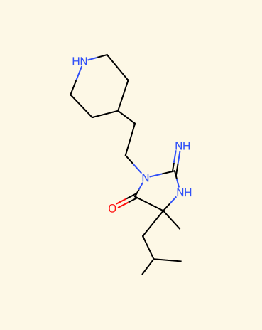 CC(C)CC1(C)NC(=N)N(CCC2CCNCC2)C1=O